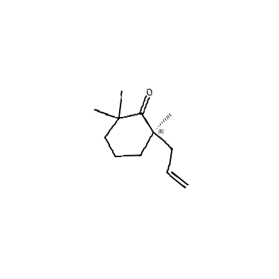 C=CC[C@@]1(C)CCCC(C)(C)C1=O